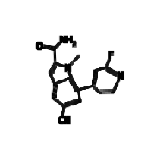 Cn1c(C(N)=O)cc2cc(C#N)cc(-c3ccnc(F)c3)c21